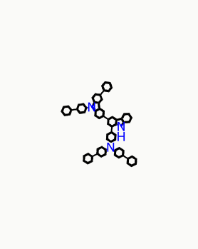 c1ccc(-c2ccc(N(c3ccc(-c4ccccc4)cc3)c3ccc(-c4cc(-c5ccc6c(c5)c5cc(-c7ccccc7)ccc5n6-c5ccc(-c6ccccc6)cc5)cc5c4[nH]c4ccccc45)cc3)cc2)cc1